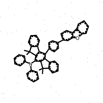 CC1(C)c2ccccc2-c2c(-c3ccc(-c4ccc5c(c4)oc4ccccc45)cc3)c3c(c(N(c4ccccc4)c4ccccc4)c21)C(C)(C)c1ccccc1-3